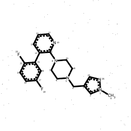 Cn1cc(CN2CCN(c3ncccc3-c3cc(F)ccc3F)CC2)cn1